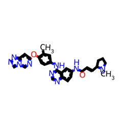 Cc1cc(Nc2ncnc3ccc(NC(=O)C=CC4CCCN4C)cc23)ccc1Oc1cc2nncn2cn1